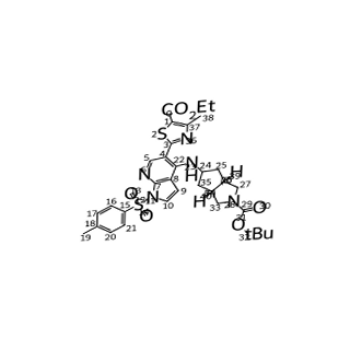 CCOC(=O)c1sc(-c2cnc3c(ccn3S(=O)(=O)c3ccc(C)cc3)c2NC2C[C@@H]3CN(C(=O)OC(C)(C)C)C[C@@H]3C2)nc1C